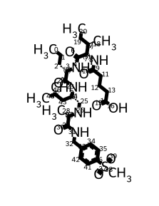 CCC[C@H](NC(=O)[C@@H](NC(=O)CCCC(=O)O)[C@@H](C)CC)C(=O)N[C@H](CN[C@@H](C)C(=O)NCc1ccc(S(C)(=O)=O)cc1)CC(C)C